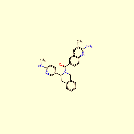 CNc1ccc(C2Cc3ccccc3CN2C(=O)c2ccc3nc(N)c(C)cc3c2)cn1